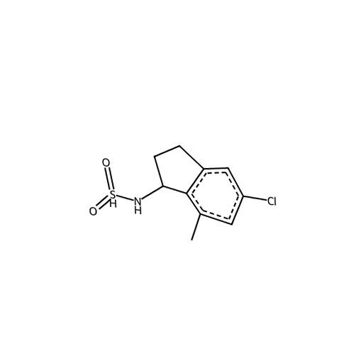 Cc1cc(Cl)cc2c1C(N[SH](=O)=O)CC2